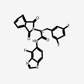 O=C(Nc1ccc2scnc2c1F)[C@H](Cc1cc(F)cc(F)c1)N1C(=O)c2ccccc2C1=O